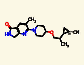 Cc1cc2c(nc1N1CCC(OCC(C)C3C[C@@H]3C#N)CC1)CNC2=O